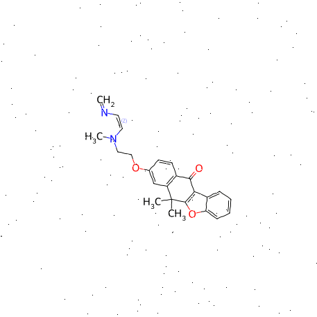 C=N/C=C\N(C)CCOc1ccc2c(c1)C(C)(C)c1oc3ccccc3c1C2=O